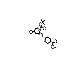 COC(=O)[C@H]1CC[C@H](CC[C@H]2CC(=O)CN2C(=O)OC(C)(C)C)CC1